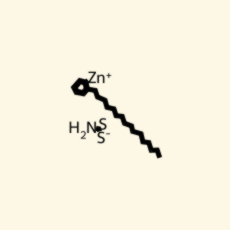 CCCCCCCCCCCCCCCCc1cccc[c]1[Zn+].NC(=S)[S-]